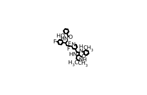 Cc1ccccc1Nc1c(-c2ccnc(C(F)(F)CC(CNC(=O)c3ccccc3O)c3ccc(F)cc3)c2)[nH]c2c1C(=O)NC(C)(C)C2